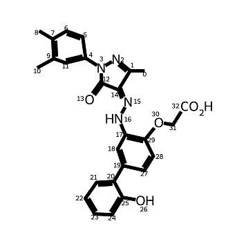 CC1=NN(c2ccc(C)c(C)c2)C(=O)C1=NNc1cc(-c2ccccc2O)ccc1OCC(=O)O